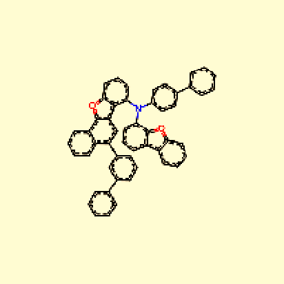 c1ccc(-c2ccc(N(c3cccc4c3oc3ccccc34)c3cccc4oc5c6ccccc6c(-c6cccc(-c7ccccc7)c6)cc5c34)cc2)cc1